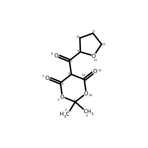 CC1(C)OC(=O)C(C(=O)C2CCCO2)C(=O)O1